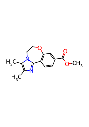 COC(=O)c1ccc2c(c1)OCCn1c-2nc(C)c1C